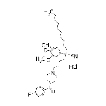 CCCCCCCCCCC(C#N)(CCCCN1CCC(C(=O)c2ccc(F)cc2)CC1)c1ccc(OC)c(OC)c1.Cl